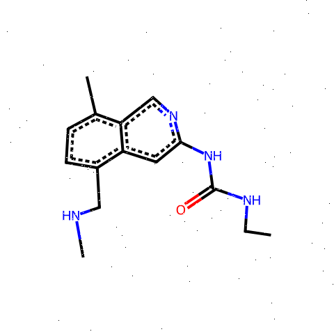 CCNC(=O)Nc1cc2c(CNC)ccc(C)c2cn1